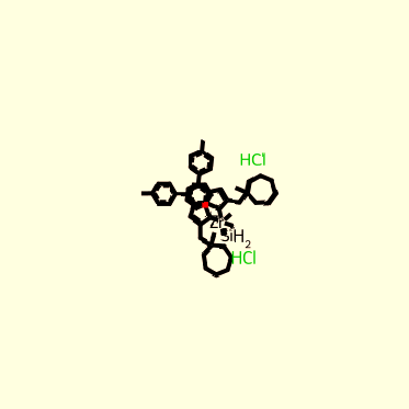 Cc1ccc(-c2cccc3c2C=C(CC2(C)CCCCCC2)[CH]3[Zr]([CH3])([CH3])(=[SiH2])[CH]2C(CC3(C)CCCCCC3)=Cc3c(-c4ccc(C)cc4)cccc32)cc1.Cl.Cl